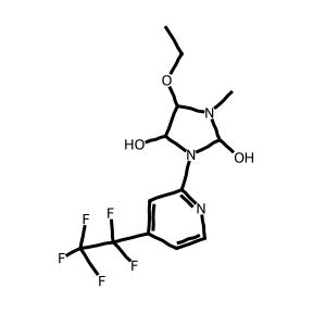 CCOC1C(O)N(c2cc(C(F)(F)C(F)(F)F)ccn2)C(O)N1C